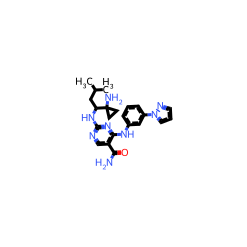 CC(C)CC(Nc1ncc(C(N)=O)c(Nc2cccc(-n3cccn3)c2)n1)C1(N)CC1